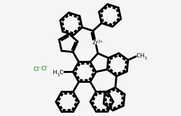 Cc1cc(-c2ccccc2)c2c(c1)[CH]([Zr+2]=[C](c1ccccc1)c1ccccc1)c1c(C3=CC=CC3)c(C)c(-c3ccccc3)c(-c3ccccc3)c1-2.[Cl-].[Cl-]